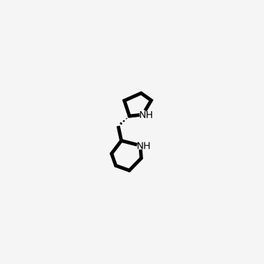 C1CCC(C[C@@H]2CCCN2)NC1